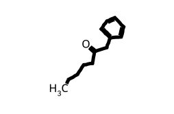 CCCCCC(=O)Cc1ccccc1